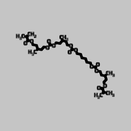 C=C(C)C(=O)OCCC(C)CCOC(=O)OCCCCCCOC(=O)OCCC(C)CCOC(=O)OCCC(C)CCOC(=O)C(=C)C